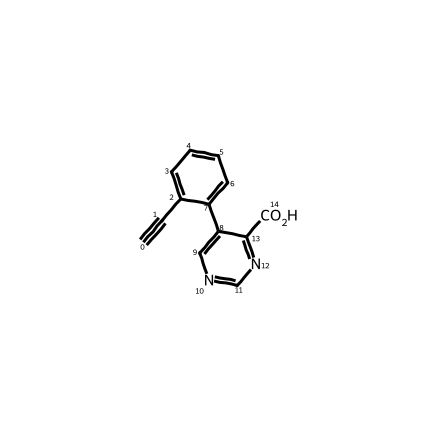 C#Cc1ccccc1-c1cncnc1C(=O)O